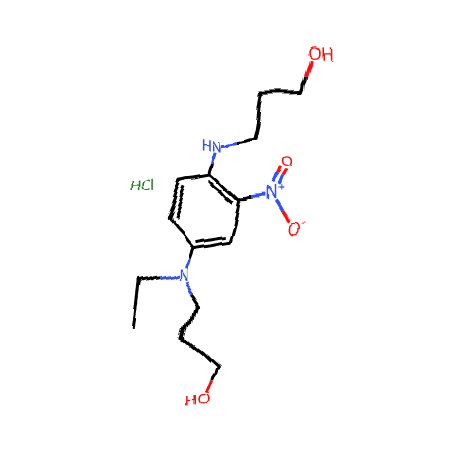 CCN(CCCO)c1ccc(NCCCO)c([N+](=O)[O-])c1.Cl